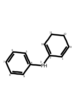 C1=CC(Pc2ccccc2)=CCC1